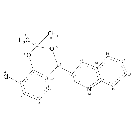 CC1(C)Oc2c(Cl)cccc2C(c2cnc3ccccc3c2)O1